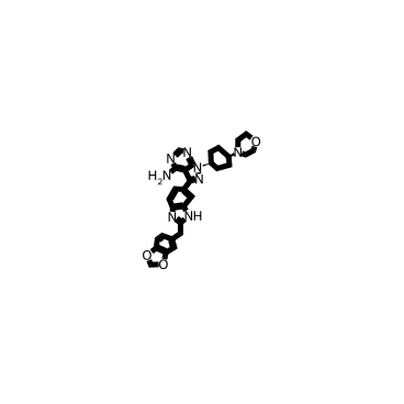 Nc1ncnc2c1c(-c1ccc3nc(Cc4ccc5c(c4)OCO5)[nH]c3c1)nn2[C@H]1CC[C@H](N2CCOCC2)CC1